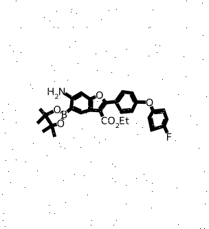 CCOC(=O)c1c(-c2ccc(Oc3ccc(F)cc3)cc2)oc2cc(N)c(B3OC(C)(C)C(C)(C)O3)cc12